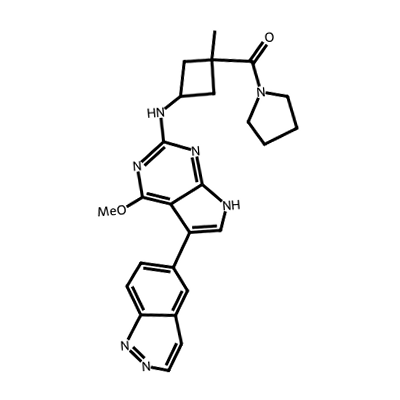 COc1nc(NC2CC(C)(C(=O)N3CCCC3)C2)nc2[nH]cc(-c3ccc4nnccc4c3)c12